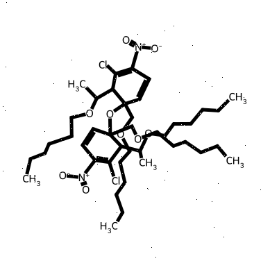 CCCCCCOCC1(OC2(COCCCCCC)C=CC([N+](=O)[O-])=C(Cl)C2C(C)OCCCCCC)C=CC([N+](=O)[O-])=C(Cl)C1C(C)OCCCCCC